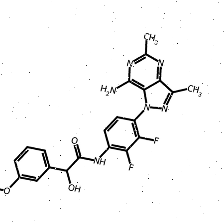 Cc1nc(N)c2c(n1)c(C)nn2-c1ccc(NC(=O)C(O)c2cccc(OC(F)(F)F)c2)c(F)c1F